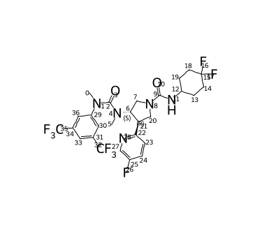 CN(C(=O)N(C)[C@@H]1CN(C(=O)NC2CCC(F)(F)CC2)C[C@H]1c1ccc(F)cn1)c1cc(C(F)(F)F)cc(C(F)(F)F)c1